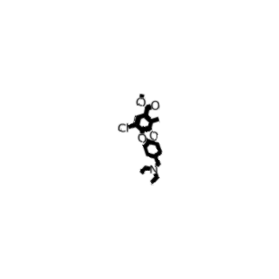 CCN(CC)CC1CCC2(CC1)Oc1c(Cl)cc(C(=O)OC)c(C)c1O2